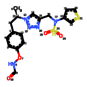 C[C@@H](Cc1ccc(ONC=O)cc1)n1cc(CN(c2ccsc2)[SH](=O)=O)nn1